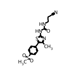 Cc1nc(NC(=O)NCCC#N)sc1-c1ccc(S(C)(=O)=O)cc1